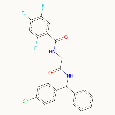 O=C(CNC(=O)c1cc(F)c(F)cc1F)NC(c1ccccc1)c1ccc(Cl)cc1